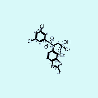 CCOP(=O)(O)CN(c1ccc2nc(C)sc2c1)S(=O)(=O)c1cc(Cl)cc(Cl)c1